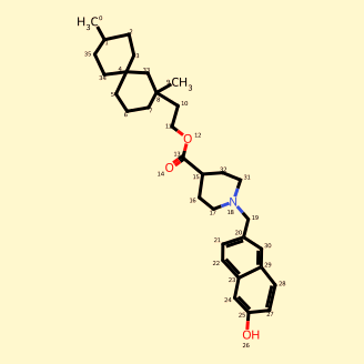 CC1CCC2(CCCC(C)(CCOC(=O)C3CCN(Cc4ccc5cc(O)ccc5c4)CC3)C2)CC1